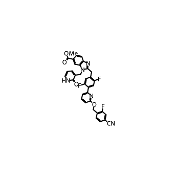 COC(=O)c1ccc2nc(Cc3cc(F)c(-c4cccc(OCc5ccc(C#N)cc5F)n4)cc3F)n(Cc3ccc[nH]c3=O)c2c1